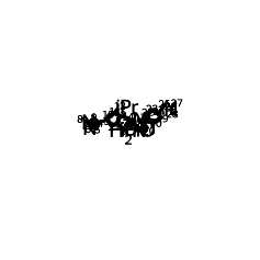 CC(C)c1cc(-c2cnn(C)c2)cc(C(C)C)c1CC(=O)N=S(N)(=O)c1ccc(CN(C)C)cc1